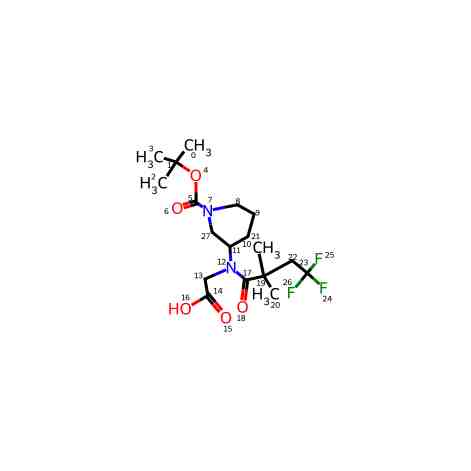 CC(C)(C)OC(=O)N1CCCC(N(CC(=O)O)C(=O)C(C)(C)CC(F)(F)F)C1